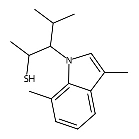 Cc1cn(C(C(C)C)C(C)S)c2c(C)cccc12